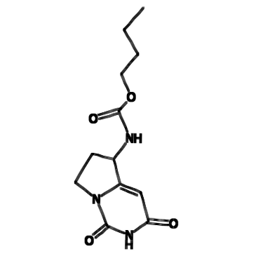 CCCCOC(=O)NC1CCn2c1cc(=O)[nH]c2=O